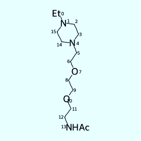 CCN1CCN(CCOCCOCCNC(C)=O)CC1